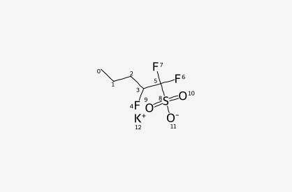 CCCC(F)C(F)(F)S(=O)(=O)[O-].[K+]